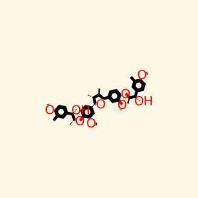 COc1ccc([C@H](O)[C@@H](C)Oc2ccc(C3O[C@H](c4ccc(O[C@H](C)[C@@H](O)c5ccc(OC)c(C)c5)c(OC)c4)[C@H](C)[C@H]3C)cc2OC)cc1C